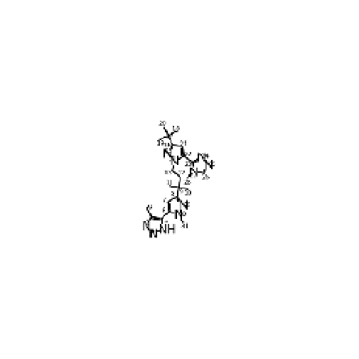 Cc1nn[nH]c1-c1cc(C(C)(C)CCn2nc(C(C)(C)C)cc2-c2nncn2C)nn1C